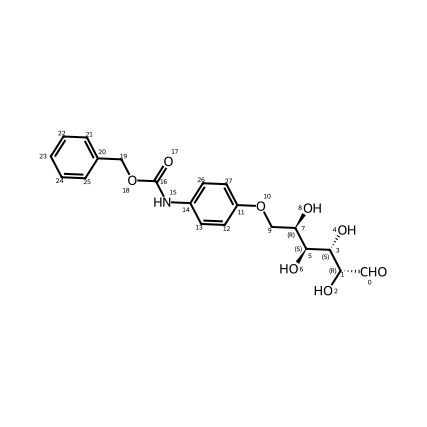 O=C[C@H](O)[C@@H](O)[C@@H](O)[C@H](O)COc1ccc(NC(=O)OCc2ccccc2)cc1